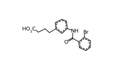 O=C(O)CCCc1cccc(NC(=O)c2ccccc2Br)c1